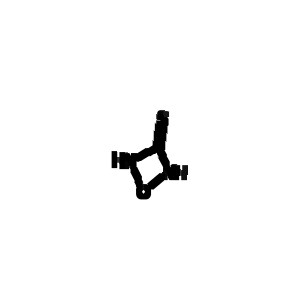 S=c1[nH]o[nH]1